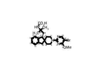 COc1nc(N2CCC3(CC2)Cc2ccccc2[C@H]3CC(C)(C)NC(=O)O)ncc1Br